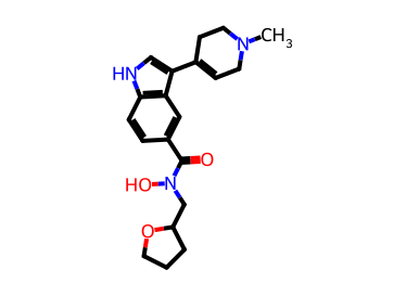 CN1CC=C(c2c[nH]c3ccc(C(=O)N(O)CC4CCCO4)cc23)CC1